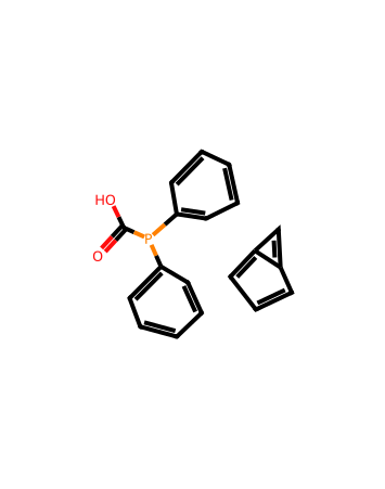 O=C(O)P(c1ccccc1)c1ccccc1.c1cc2cc-2c1